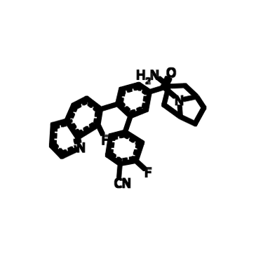 N#Cc1ccc(-c2cc(C(=O)N3C4CCC3CC(N)C4)ccc2-c2ccc3cccnc3c2F)cc1F